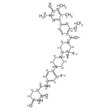 Cc1c(-c2ccc(C(=O)N3CCC(N4CCN(c5ccc(NSC6CCC(=O)NC6=O)cc5F)CC4)C(F)(F)C3)c(OC(F)(F)F)c2)cn(C)c(=O)c1C